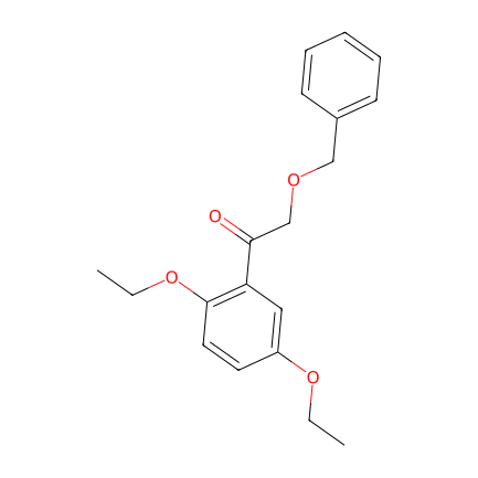 CCOc1ccc(OCC)c(C(=O)COCc2ccccc2)c1